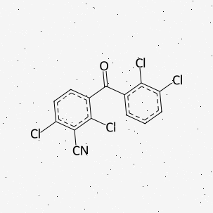 N#Cc1c(Cl)ccc(C(=O)c2cccc(Cl)c2Cl)c1Cl